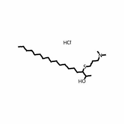 CCCCCCCCCCCCCCCC(SCCCN(C)C)C(C)O.Cl